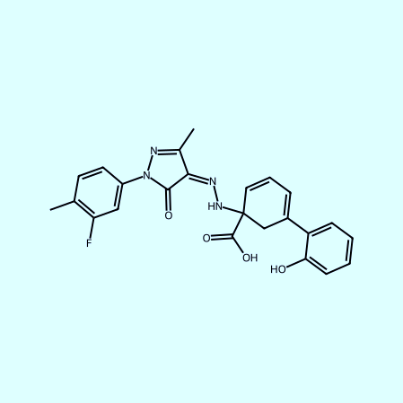 CC1=NN(c2ccc(C)c(F)c2)C(=O)C1=NNC1(C(=O)O)C=CC=C(c2ccccc2O)C1